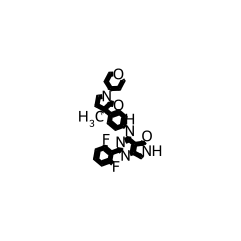 C[C@]1(c2ccc(Nc3nc(-c4c(F)cccc4F)nc4c3C(=O)NC4)cc2)CCN(C2CCOCC2)C1=O